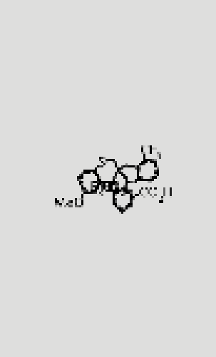 COc1ccc2c(c1)C(=O)C(Cc1c(C(=O)O)cccc1C(F)(F)F)(Cc1c(C(=O)O)cccc1C(F)(F)F)CS2